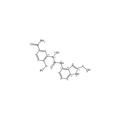 CC(C)Oc1ccc(C(N)=O)cc1N(S)C(=O)Nc1cccc2[nH]c(CO)nc12